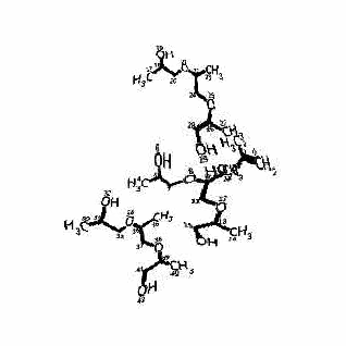 C=C(C)C(=O)O.CC(O)COC(C)COC(C)CO.CC(O)COC(C)COC(C)CO.CC(O)COC(C)COC(C)CO